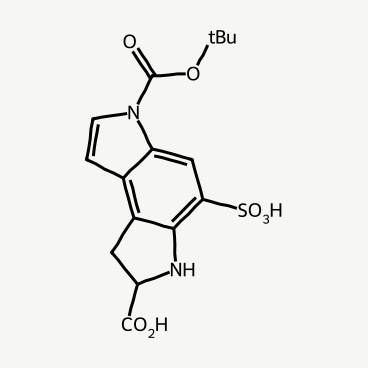 CC(C)(C)OC(=O)n1ccc2c3c(c(S(=O)(=O)O)cc21)NC(C(=O)O)C3